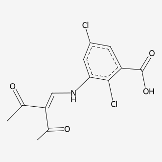 CC(=O)C(=CNc1cc(Cl)cc(C(=O)O)c1Cl)C(C)=O